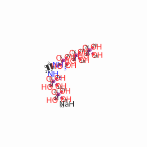 CC.CC.N.N.O=P(O)(O)O.O=P(O)(O)O.O=P(O)(O)O.O=P(O)(O)O.O=P(O)(O)O.[NaH]